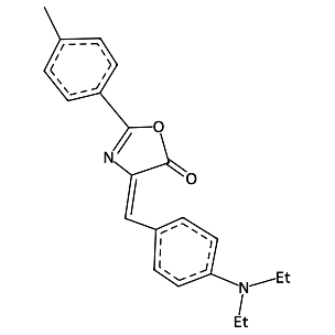 CCN(CC)c1ccc(C=C2N=C(c3ccc(C)cc3)OC2=O)cc1